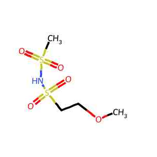 COCCS(=O)(=O)NS(C)(=O)=O